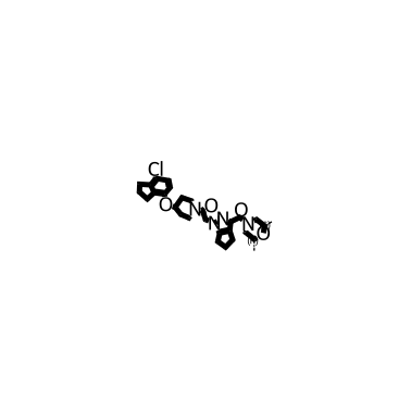 C[C@@H]1CN(C(=O)c2nn(CC(=O)N3CCC(Oc4ccc(Cl)c5c4CCC5)CC3)c3c2CCC3)C[C@H](C)O1